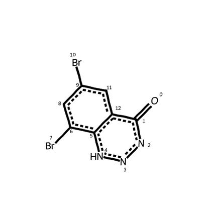 O=c1nn[nH]c2c(Br)cc(Br)cc12